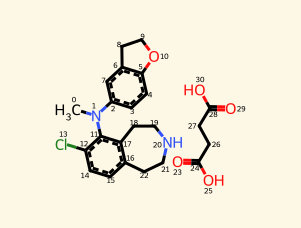 CN(c1ccc2c(c1)CCO2)c1c(Cl)ccc2c1CCNCC2.O=C(O)CCC(=O)O